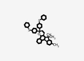 Cc1ccc2c(c1)C(C)(C)c1c3c(c4ccccc4c1-2)OC(c1ccc(Sc2ccccc2)cc1)(c1ccc(Sc2ccccc2)cc1)C=C3